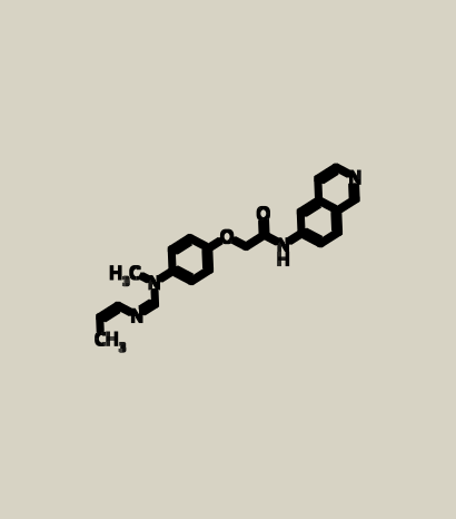 C/C=C\N=C/N(C)c1ccc(OCC(=O)Nc2ccc3cnccc3c2)cc1